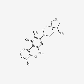 Cn1c(N2CCC3(CC2)COC[C@H]3N)nc(N)c(-c2cccc(Cl)c2Cl)c1=O